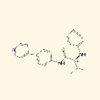 CC(C)[C@H](Nc1ccccc1)C(=O)Nc1ccc(-c2ccncc2)cc1